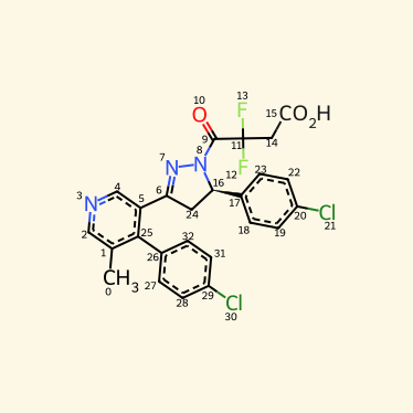 Cc1cncc(C2=NN(C(=O)C(F)(F)CC(=O)O)[C@@H](c3ccc(Cl)cc3)C2)c1-c1ccc(Cl)cc1